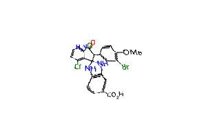 COc1ccc(C(C(N)=O)C2(c3c(Cl)cccc3Cl)Nc3ccc(C(=O)O)cc3N2)cc1Br